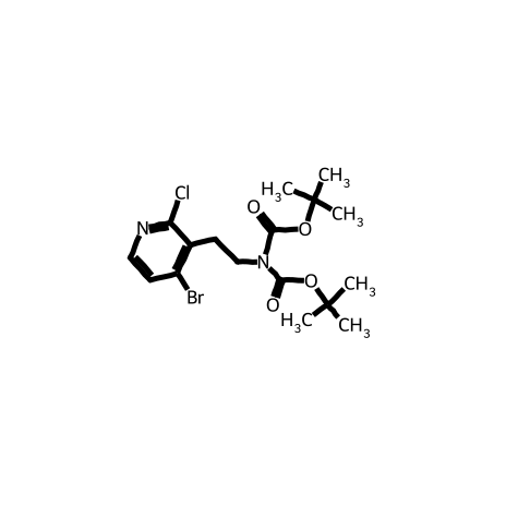 CC(C)(C)OC(=O)N(CCc1c(Br)ccnc1Cl)C(=O)OC(C)(C)C